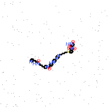 O=C(/C=C/c1cccnc1)NCCCCC1CCN(C(=O)c2ccc(N3CCC(N4CCN(CCCCCCSc5cccc6c5C(=O)N(C5CCC(=O)NC5=O)C6=O)CC4)CC3)nc2)CC1